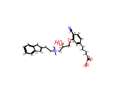 C[N+](C)(CCC1Cc2ccccc2C1)C[C@@H](O)COc1cc(CCCCC(=O)O)ccc1C#N